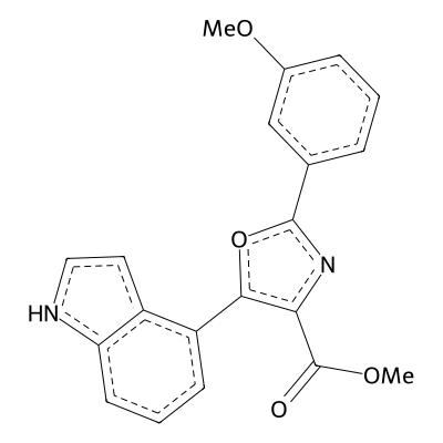 COC(=O)c1nc(-c2cccc(OC)c2)oc1-c1cccc2[nH]ccc12